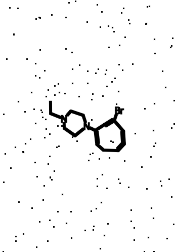 CCN1CCN(C2=C/CC=C=C/C(Br)=C\2)CC1